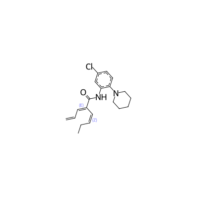 C=C/C=C(\C=C/CC)C(=O)Nc1cc(Cl)ccc1N1CCCCC1